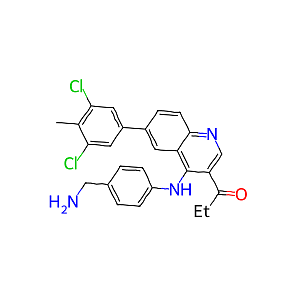 CCC(=O)c1cnc2ccc(-c3cc(Cl)c(C)c(Cl)c3)cc2c1Nc1ccc(CN)cc1